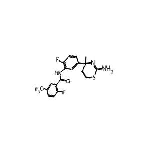 CC1(c2ccc(F)c(NC(=O)c3cc(C(F)(F)F)ccc3F)c2)CCSC(N)=N1